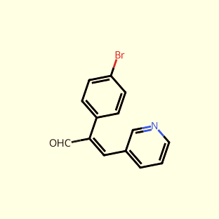 O=CC(=Cc1cccnc1)c1ccc(Br)cc1